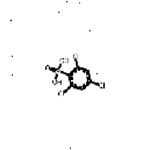 O=P(O)(O)c1c(Cl)cc(Cl)cc1Cl